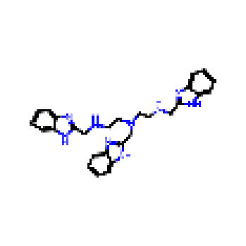 c1ccc2[nH]c(CNCCN(CCNCc3nc4ccccc4[nH]3)Cc3nc4ccccc4[nH]3)nc2c1